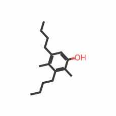 CCCCc1cc(O)c(C)c(CCCC)c1C